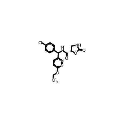 O=C1NC[C@@H](C(=O)NC(c2ccc(Cl)cc2)c2ccc(OCC(F)(F)F)nn2)O1